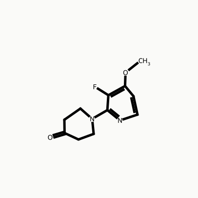 COc1ccnc(N2CCC(=O)CC2)c1F